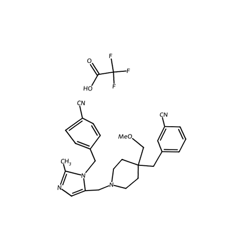 COCC1(Cc2cccc(C#N)c2)CCN(Cc2cnc(C)n2Cc2ccc(C#N)cc2)CC1.O=C(O)C(F)(F)F